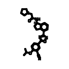 CC(C)Oc1ccc(-c2nc(-c3cccc4c3CC[C@H]4NC(=O)CN3CCCC3)no2)cc1C#N